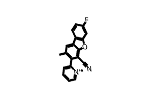 Cc1cc2c(oc3cc(F)ccc32)c(C#N)c1-c1cccc[n+]1C